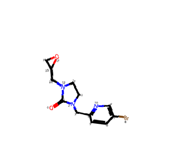 O=C1N(Cc2ccc(Br)cn2)CCN1CC1CO1